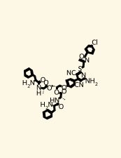 C[C@H](NC(=O)[C@@H](N)Cc1ccccc1)C(=O)OC[C@H](COc1ccc(-c2c(C#N)c(N)nc(SCc3coc(-c4ccc(Cl)cc4)n3)c2C#N)cc1)OC(=O)[C@H](C)NC(=O)[C@@H](N)Cc1ccccc1